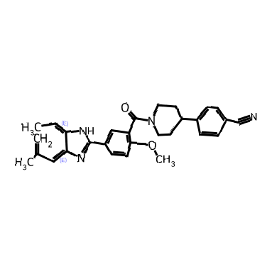 C=C(C)/C=c1/nc(-c2ccc(OC)c(C(=O)N3CCC(c4ccc(C#N)cc4)CC3)c2)[nH]/c1=C/C